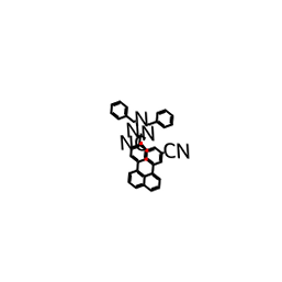 N#Cc1cc(C#N)cc(-c2cccc3cccc(-c4ccc(-c5nc(-c6ccccc6)nc(-c6ccccc6)n5)cc4)c23)c1